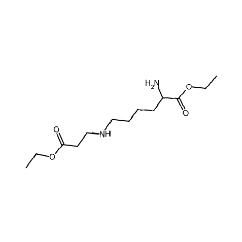 CCOC(=O)CCNCCCCC(N)C(=O)OCC